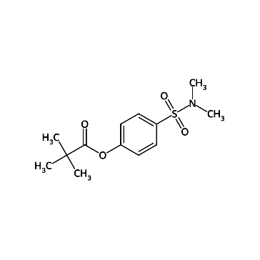 CN(C)S(=O)(=O)c1ccc(OC(=O)C(C)(C)C)cc1